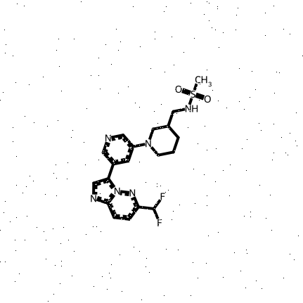 CS(=O)(=O)NCC1CCCN(c2cncc(-c3cnc4ccc(C(F)F)nn34)c2)C1